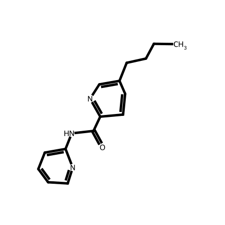 CCCCc1ccc(C(=O)Nc2ccccn2)nc1